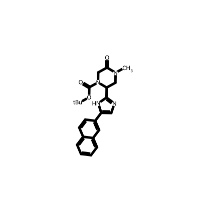 CN1CC(c2ncc(-c3ccc4ccccc4c3)[nH]2)N(C(=O)OC(C)(C)C)CC1=O